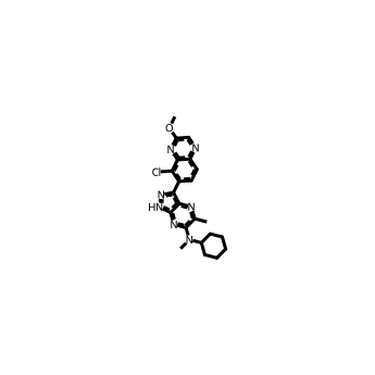 COc1cnc2ccc(-c3n[nH]c4nc(N(C)C5CCCCC5)c(C)nc34)c(Cl)c2n1